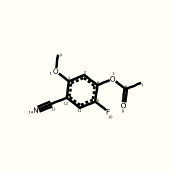 COc1cc(OC(C)=O)c(F)cc1C#N